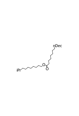 CCCCCCCCCCCCCCCCCC(=O)OCCCCCCCCC(C)C